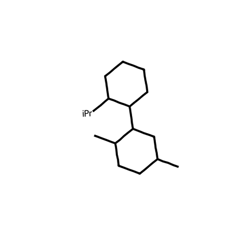 CC1CCC(C)C(C2CCCCC2C(C)C)C1